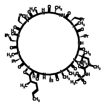 C/C=C/C[C@@H](C)[C@H]1ON2C(=O)[C@H](C(C)C)N(C)C(=O)[C@H](CC(C)C)N(C)C(=O)[C@H](CC(C)C)N(C)C(=O)[C@@H](C)NC(=O)[C@H](C)NC(=O)[C@H](CC(C)C)N(C)C(=O)[C@H](C(C)C)NC(=O)[C@H](C(C)(C)CN(C)C(=O)NS(C)(=O)=O)N(C)C(=O)[C@@H](C)N(C)C(=O)[C@H](CC)NC(=O)[C@H]12